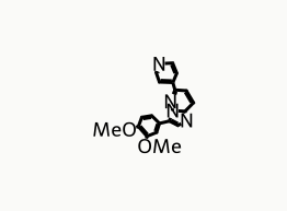 COc1ccc(-c2cnc3ccc(-c4ccncc4)nn23)cc1OC